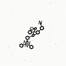 N#Cc1cccc(-c2ccc3c(c2)C2(c4ccccc4Oc4ccccc42)c2cc(-c4cccc(-c5nc(-c6ccccc6)nc(-c6ccccc6)n5)c4)ccc2-3)c1